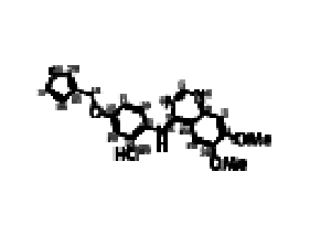 COc1cc2ncnc(Nc3ccc(OCc4ccsc4)cc3)c2cc1OC.Cl